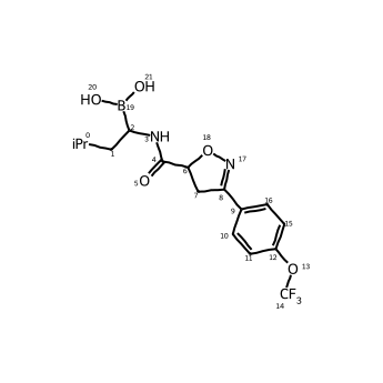 CC(C)CC(NC(=O)C1CC(c2ccc(OC(F)(F)F)cc2)=NO1)B(O)O